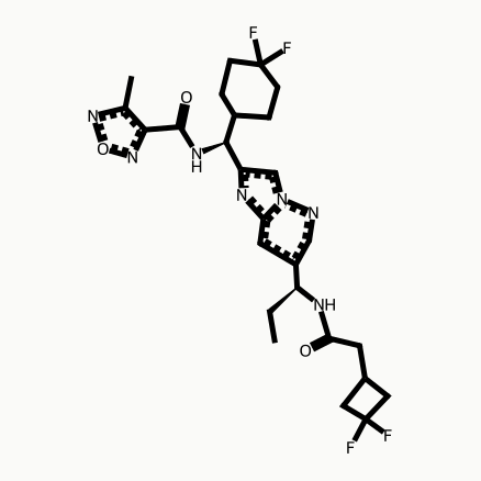 CC[C@H](NC(=O)CC1CC(F)(F)C1)c1cnn2cc([C@@H](NC(=O)c3nonc3C)C3CCC(F)(F)CC3)nc2c1